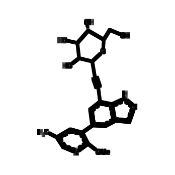 COc1ncc(C)cc1-c1cc(C#CC2OC(CO)[C@@H](O)C(O)C2O)c2[nH]ncc2c1